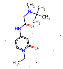 CCn1ccc(NC(=O)CN(C)C(C)(C)C)cc1=O